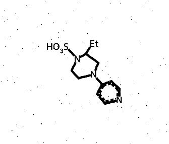 CCC1CN(c2ccncc2)CCN1S(=O)(=O)O